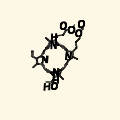 C=CC1=C(C)c2cc3[nH]c(cc4nc(cc5[nH]c(cc1n2)c(C)c5CCC(=O)OC)C(CCCOC=O)=C4C)c(C)c3C(C)O